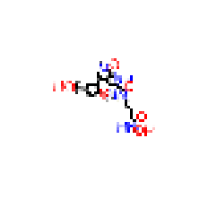 CC(C)Oc1ccc(C(C)(C)O)cc1-c1cn(C)c(=O)c2[nH]c(C(=O)NCCCCC(=O)NO)cc12